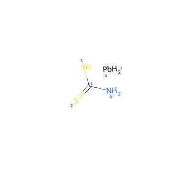 NC(=S)S.[PbH2]